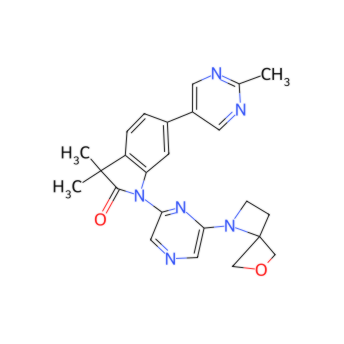 Cc1ncc(-c2ccc3c(c2)N(c2cncc(N4CCC45COC5)n2)C(=O)C3(C)C)cn1